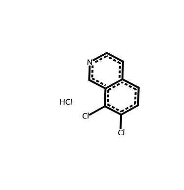 Cl.Clc1ccc2ccncc2c1Cl